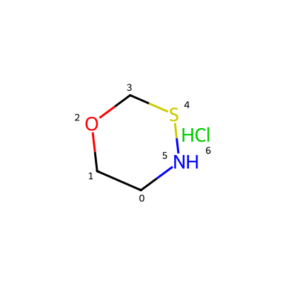 C1COCSN1.Cl